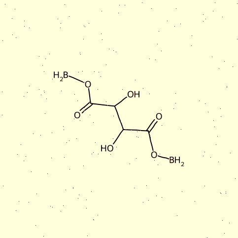 BOC(=O)C(O)C(O)C(=O)OB